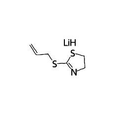 C=CCSC1=NCCS1.[LiH]